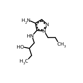 CCCn1ncc(N)c1NCC(O)CC